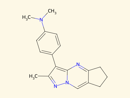 Cc1nn2cc3c(nc2c1-c1ccc(N(C)C)cc1)CCC3